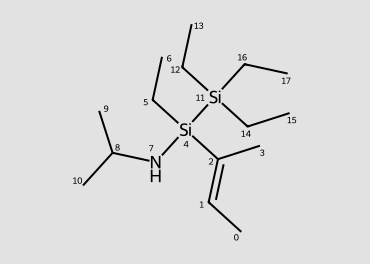 C/C=C(\C)[Si](CC)(NC(C)C)[Si](CC)(CC)CC